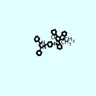 CC1(C)c2ccccc2-c2c1c1c3ccccc3n(-c3ccc(-c4nc(-c5ccccc5)cc(-c5ccccc5)n4)cc3)c1c1oc3ccccc3c21